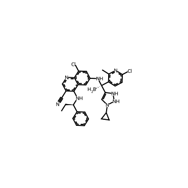 B[C@@](Nc1cc(Cl)c2ncc(C#N)c(N[C@H](CC)c3ccccc3)c2c1)(C1=CN(C2CC2)NN1)c1ccc(Cl)nc1C